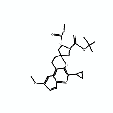 COC(=O)[C@@H]1CC2(CCc3c(c(C4CC4)nc4ccc(OC)cc34)O2)CN1C(=O)OC(C)(C)C